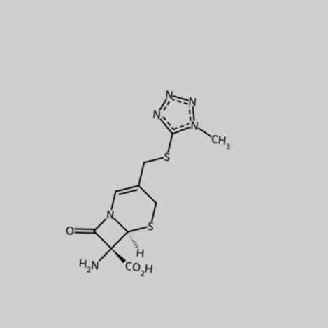 Cn1nnnc1SCC1=CN2C(=O)[C@](N)(C(=O)O)[C@@H]2SC1